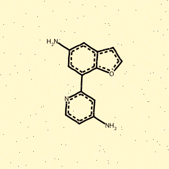 Nc1ccnc(-c2cc(N)cc3ccoc23)c1